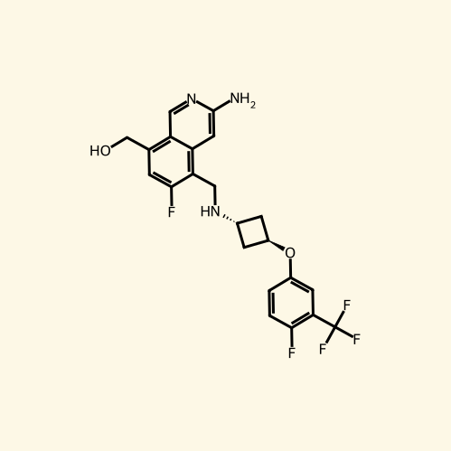 Nc1cc2c(CN[C@H]3C[C@H](Oc4ccc(F)c(C(F)(F)F)c4)C3)c(F)cc(CO)c2cn1